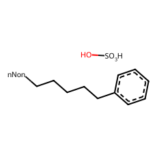 CCCCCCCCCCCCCCc1ccccc1.O=S(=O)(O)O